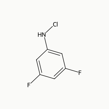 Fc1cc(F)cc(NCl)c1